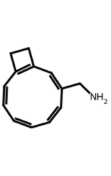 NCc1ccccccc2c(c1)CC2